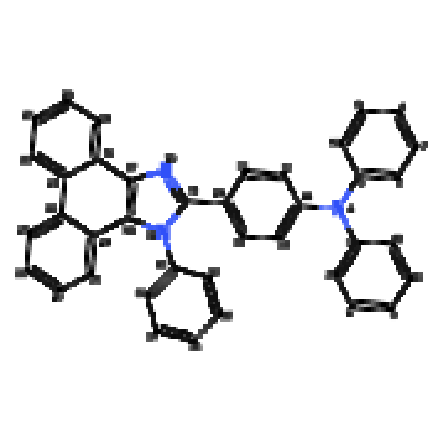 c1ccc(N(c2ccccc2)c2ccc(-c3nc4c5ccccc5c5ccccc5c4n3-c3ccccc3)cc2)cc1